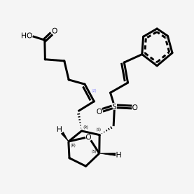 O=C(O)CCC/C=C\C[C@@H]1[C@H](CS(=O)(=O)CC=Cc2ccccc2)[C@@H]2CC[C@H]1O2